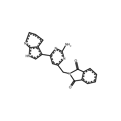 Nc1nc(CN2C(=O)c3ccccc3C2=O)cc(-c2c[nH]c3ncccc23)n1